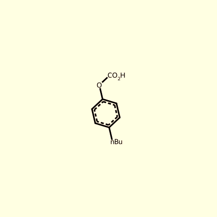 CCCCc1ccc(OC(=O)O)cc1